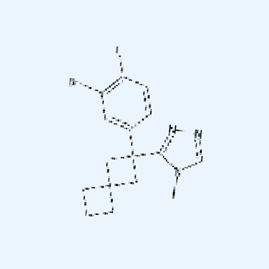 Cn1cnnc1C1(c2ccc(F)c(Br)c2)CC2(CCC2)C1